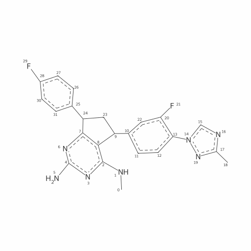 CNc1nc(N)nc2c1C(c1ccc(-n3cnc(C)n3)c(F)c1)CC2c1ccc(F)cc1